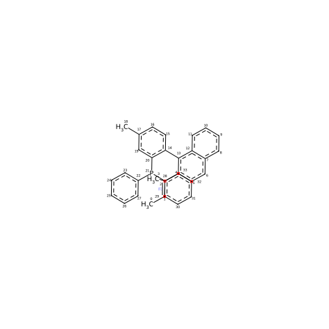 C/C=C(\C)c1ccc2ccccc2c1-c1ccc(C)cc1P(c1ccccc1)c1ccccc1